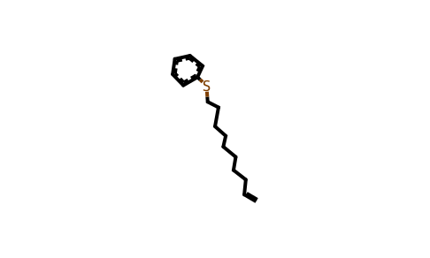 C=CCCCCCCCCSc1ccccc1